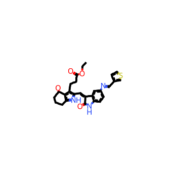 CCOC(=O)CCc1c(C=C2C(=O)Nc3ccc(N=Cc4ccsc4)cc32)[nH]c2c1C(=O)CCC2